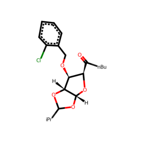 CCCCC(=O)[C@H]1O[C@@H]2OC(C(C)C)O[C@@H]2[C@H]1OCc1ccccc1Cl